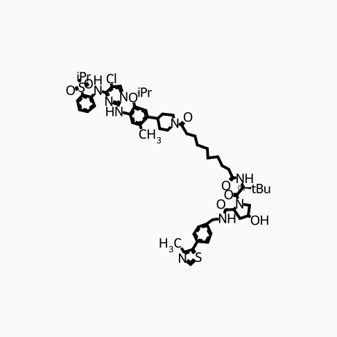 Cc1cc(Nc2ncc(Cl)c(Nc3ccccc3S(=O)(=O)C(C)C)n2)c(OC(C)C)cc1C1CCN(C(=O)CCCCCCCCC(=O)N[C@H](C(=O)N2CC(O)CC2C(=O)NCc2ccc(-c3scnc3C)cc2)C(C)(C)C)CC1